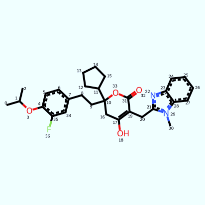 CC(C)Oc1ccc(CCC2(C3CCCC3)CC(O)=C(Cc3nc4ccccc4n3C)C(=O)O2)cc1F